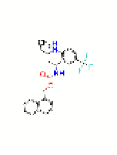 CCC1CC(NC(=O)OCc2cccc3ccccc23)c2cc(C(F)(F)F)ccc2N1